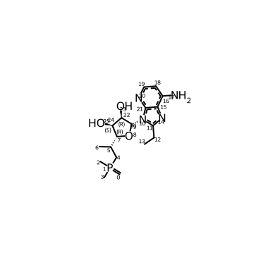 C=P(C)(C)CC(C)[C@H]1O[C@@H](n2c(CC)nc3c(N)ccnc32)[C@H](O)[C@@H]1O